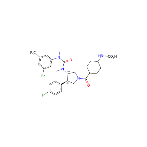 CN(C(=O)N(C)[C@@H]1CN(C(=O)C2CCC(NC(=O)O)CC2)C[C@H]1c1ccc(F)cc1)c1cc(Br)cc(C(F)(F)F)c1